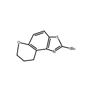 CC(C)(C)c1nc2c3c(ccc2s1)OCCC3